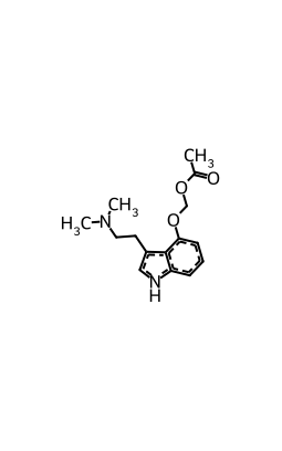 CC(=O)OCOc1cccc2[nH]cc(CCN(C)C)c12